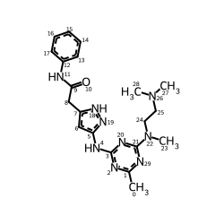 Cc1nc(Nc2cc(CC(=O)Nc3ccccc3)[nH]n2)nc(N(C)CCN(C)C)n1